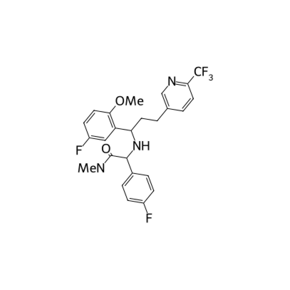 CNC(=O)C(NC(CCc1ccc(C(F)(F)F)nc1)c1cc(F)ccc1OC)c1ccc(F)cc1